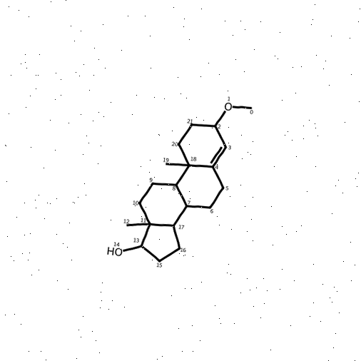 COC1C=C2CCC3C(CCC4(C)C(O)CCC34)C2(C)CC1